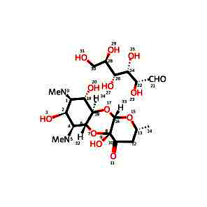 CN[C@@H]1[C@H](O)[C@H](NC)[C@H]2O[C@@]3(O)C(=O)C[C@@H](C)O[C@H]3O[C@@H]2[C@H]1O.O=C[C@H](O)[C@@H](O)[C@H](O)[C@H](O)CO